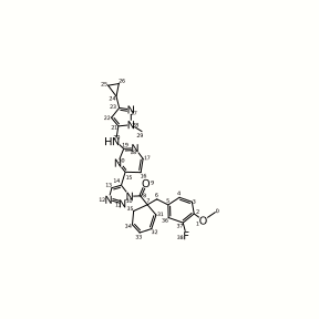 COc1ccc(CC2(C(=O)n3nncc3-c3ccnc(Nc4cc(C5CC5)nn4C)n3)C=CC=CC2)cc1F